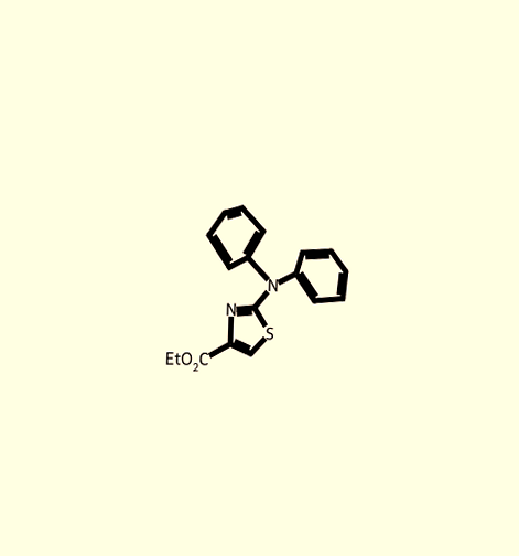 CCOC(=O)c1csc(N(c2ccccc2)c2ccccc2)n1